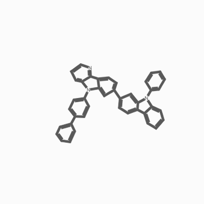 c1ccc(-c2ccc(-n3c4cc(-c5ccc6c7ccccc7n(-c7ccccc7)c6c5)ccc4c4ncccc43)cc2)cc1